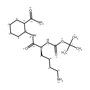 CC(C)(C)OC(=O)N[C@@H](CCCCN)C(=O)NC1CCCCC1C(N)=O